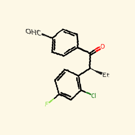 CC[C@H](C(=O)c1ccc(C=O)cc1)c1ccc(F)cc1Cl